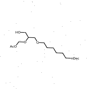 CCCCCCCCCCCCCCCCOCC(CO)OCOC(C)=O